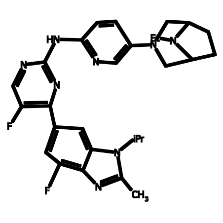 CCN1C2CCC1CN(c1ccc(Nc3ncc(F)c(-c4cc(F)c5nc(C)n(C(C)C)c5c4)n3)nc1)C2